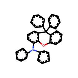 c1ccc(N(c2ccccc2)c2cccc3c2Oc2ccccc2C3(c2ccccc2)c2ccccc2)cc1